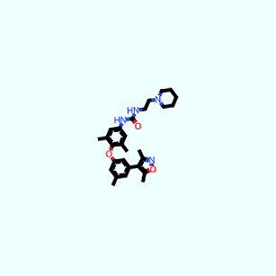 Cc1cc(Oc2c(C)cc(NC(=O)NCCN3CCCCC3)cc2C)cc(-c2c(C)noc2C)c1